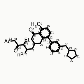 CCCC(CC1CC(=O)c2c(C)ccc(-c3cccc(CC4CCCC4)c3)c2C1)C(CC)C(=O)CC(C)=O